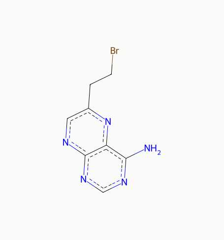 Nc1ncnc2ncc(CCBr)nc12